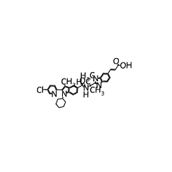 Cc1c(-c2ccc(Cl)cn2)n(C2CCCCC2)c2ccc(C(=O)NC(C)(C)c3nc4ccc(/C=C/C(=O)O)cc4n3C)cc12